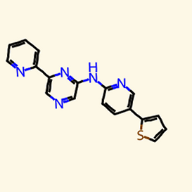 c1ccc(-c2cncc(Nc3ccc(-c4cccs4)cn3)n2)nc1